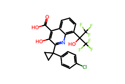 O=C(O)c1c(O)c(C2(c3ccc(Cl)cc3)CC2)nc2c(C(O)(C(F)(F)F)C(F)(F)F)cccc12